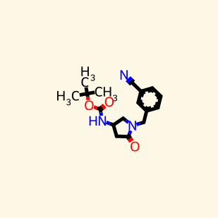 CC(C)(C)OC(=O)NC1CC(=O)N(Cc2cccc(C#N)c2)C1